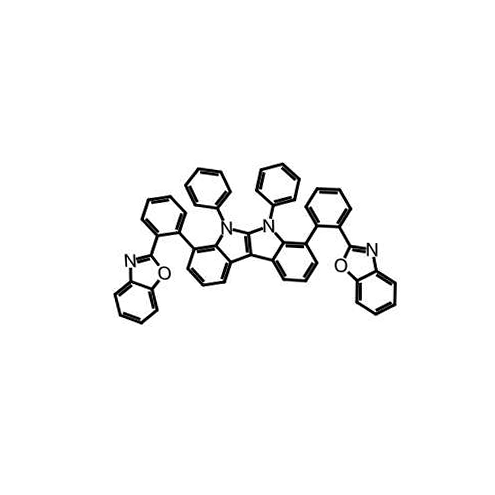 c1ccc(-n2c3c(-c4ccccc4-c4nc5ccccc5o4)cccc3c3c4cccc(-c5ccccc5-c5nc6ccccc6o5)c4n(-c4ccccc4)c32)cc1